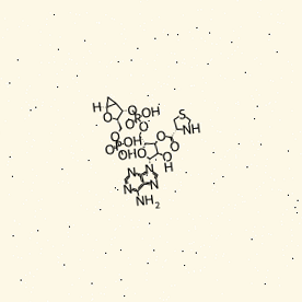 Nc1ncnc2c1ncn2[C@@H]1O[C@H](COP(=O)(O)O[C@H]2C3C[C@@H]3O[C@@H]2COP(=O)(O)O)[C@@H](OC(=O)[C@@H]2CSCN2)[C@H]1O